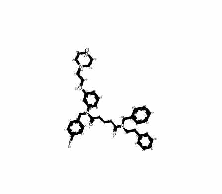 O=C(CCCC(=O)N(Cc1ccc(F)cc1)c1cccc(OCCN2CCNCC2)c1)N(CCc1ccccc1)Cc1ccccc1